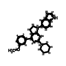 COc1cccc(-c2nc(N3CCCCC3)nc3c2CCN3c2ccc3[nH]cnc3c2)c1